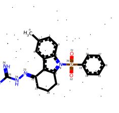 Cc1ccc2c(c1)c1c(n2S(=O)(=O)c2ccccc2)CCCC1=NNC(=N)N